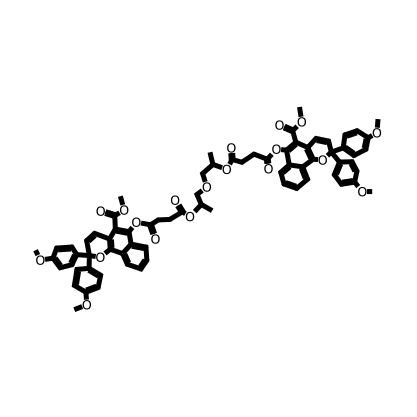 COC(=O)c1c2c(c3ccccc3c1OC(=O)CCC(=O)OC(C)COCC(C)OC(=O)CCC(=O)Oc1c(C(=O)OC)c3c(c4ccccc14)OC(c1ccc(OC)cc1)(c1ccc(OC)cc1)C=C3)OC(c1ccc(OC)cc1)(c1ccc(OC)cc1)C=C2